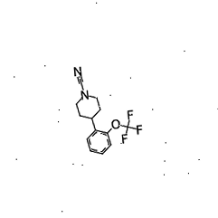 N#CN1CCC(c2ccccc2OC(F)(F)F)CC1